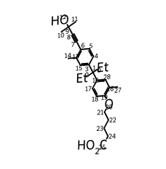 CCC(CC)(c1ccc(C#CC(C)(C)O)c(C)c1)c1ccc(OCCCCC(=O)O)c(C)c1